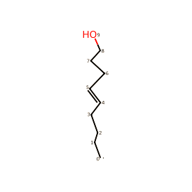 [CH2]CCCC=CCCCO